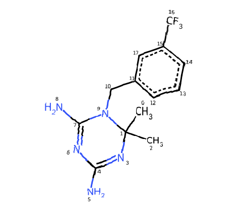 CC1(C)N=C(N)N=C(N)N1Cc1cccc(C(F)(F)F)c1